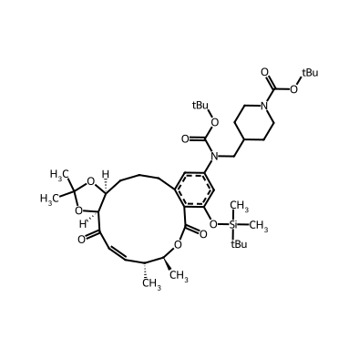 C[C@@H]1/C=C\C(=O)[C@H]2OC(C)(C)O[C@H]2CCCc2cc(N(CC3CCN(C(=O)OC(C)(C)C)CC3)C(=O)OC(C)(C)C)cc(O[Si](C)(C)C(C)(C)C)c2C(=O)O[C@H]1C